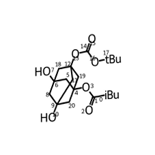 CCC(C)C(=O)OC12CC3(O)CC(O)(CC(OC(=O)OC(C)(C)C)(C3)C1)C2